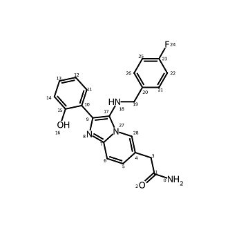 NC(=O)Cc1ccc2nc(-c3ccccc3O)c(NCc3ccc(F)cc3)n2c1